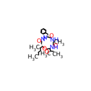 CCCC[C@H](C)[C@@H]1CC(=O)N=N[C@@H](Cc2ccccc2)C(=O)N[C@@H](C)C(=O)N[C@H]([C@@H](C)CC)C(=O)O1